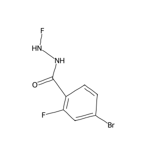 O=C(NNF)c1ccc(Br)cc1F